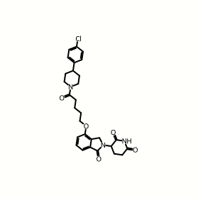 O=C1CCC(N2Cc3c(OCCCCC(=O)N4CCC(c5ccc(Cl)cc5)CC4)cccc3C2=O)C(=O)N1